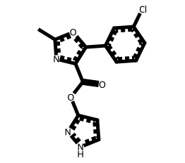 Cc1nc(C(=O)Oc2cc[nH]n2)c(-c2cccc(Cl)c2)o1